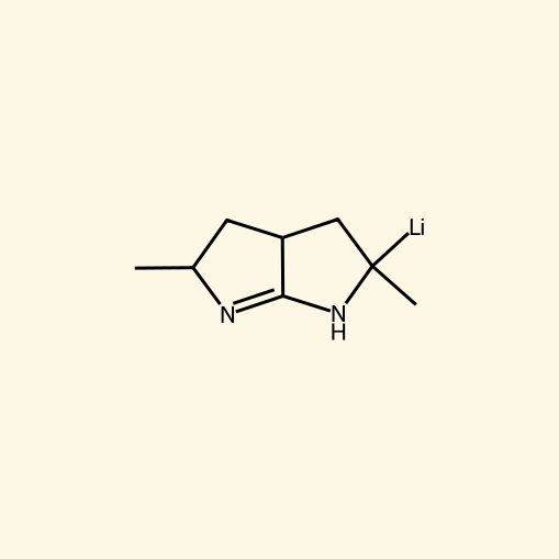 [Li][C]1(C)CC2CC(C)N=C2N1